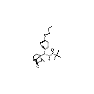 CCCSc1ccc([C@H](N[S@+]([O-])C(C)(C)C)C23CCC(CC2)C(=O)N3C)cc1